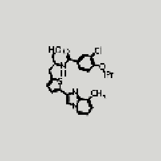 Cc1cccn2cc(-c3ccc(C[C@@H](CO)NC(=O)c4ccc(OC(C)C)c(Cl)c4)s3)nc12